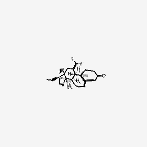 CC#C[C@]1(O)CC[C@H]2[C@@H]3CCC4=CC(=O)CC[C@@H]4[C@H]3C(=C(F)F)CC21CC